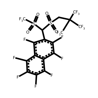 O=S(=O)(CC(C(F)(F)F)(C(F)(F)F)C(F)(F)F)C(c1c(F)c(F)c2c(F)c(F)c(F)c(F)c2c1F)S(=O)(=O)C(F)(F)F